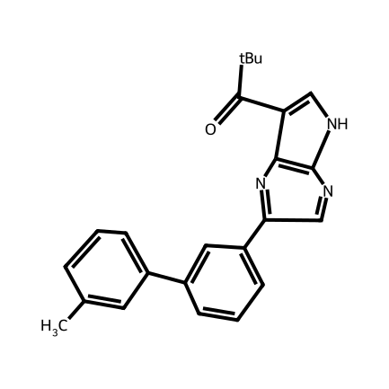 Cc1cccc(-c2cccc(-c3cnc4[nH]cc(C(=O)C(C)(C)C)c4n3)c2)c1